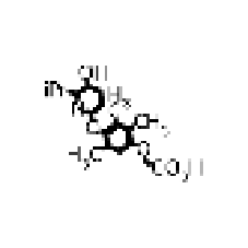 CC1=C(OCC(=O)O)CC(C)C(OC2CCC(O)C(C(C)C)=N2)=C1C